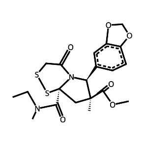 CCN(C)C(=O)[C@@]12C[C@](C)(C(=O)OC)[C@H](c3ccc4c(c3)OCO4)N1C(=O)CSS2